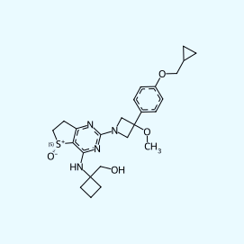 COC1(c2ccc(OCC3CC3)cc2)CN(c2nc3c(c(NC4(CO)CCC4)n2)[S@+]([O-])CC3)C1